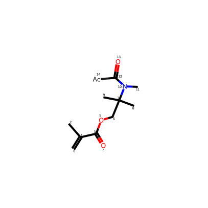 C=C(C)C(=O)OCC(C)(C)N(C)C(=O)C(C)=O